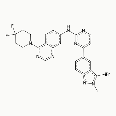 CC(C)c1c2cc(-c3ccnc(Nc4ccc5c(N6CCC(F)(F)CC6)ncnc5c4)n3)ccc2nn1C